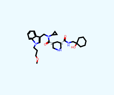 COCCCn1cc(CN(C(=O)[C@H]2CNC[C@@H](C(=O)NCC3(O)CCCCC3)C2)C2CC2)c2ccccc21